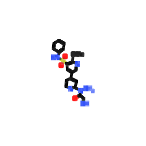 COc1ncc(-c2ccnc(N(N)C(=O)C=N)c2)cc1S(=O)(=O)Nc1ccccc1